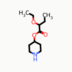 CCOC(CC)C(=O)OC1CCNCC1